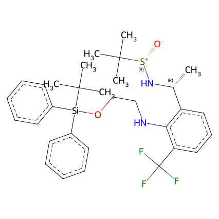 C[C@@H](N[S@@+]([O-])C(C)(C)C)c1cccc(C(F)(F)F)c1NCCO[Si](c1ccccc1)(c1ccccc1)C(C)(C)C